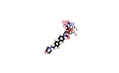 C[C@@](C[C@H]1CN(c2ccc(-c3ccc(CCN4CCOCC4)cc3)cc2)C(=O)O1)(C(=O)NO)S(C)(=O)=O